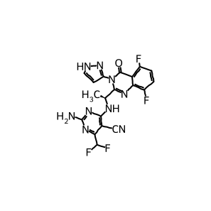 C[C@H](Nc1nc(N)nc(C(F)F)c1C#N)c1nc2c(F)ccc(F)c2c(=O)n1-c1cc[nH]n1